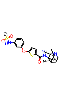 CCS(=O)(=O)Nc1cccc(Oc2ccc(C(=O)N[C@@H]3C4CCN(CC4)[C@H]3C)s2)c1